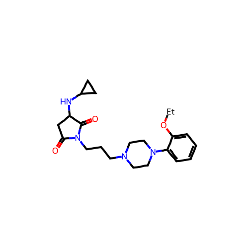 CCOc1ccccc1N1CCN(CCCN2C(=O)CC(NC3CC3)C2=O)CC1